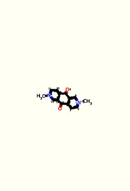 C[n+]1ccc2c(c1)C(=O)c1cc[n+](C)cc1C2=O